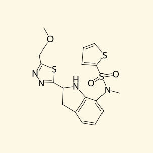 COCc1nnc(C2Cc3cccc(N(C)S(=O)(=O)c4cccs4)c3N2)s1